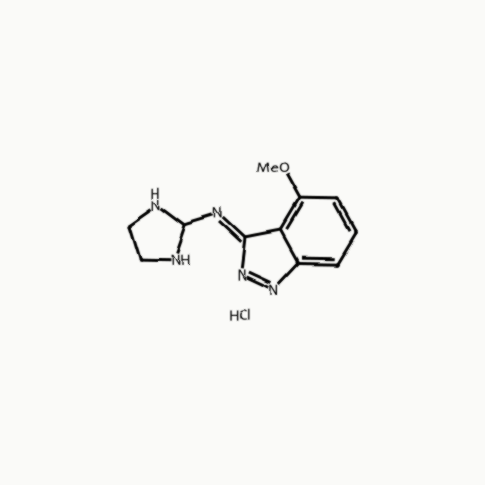 COc1cccc2c1C(=NC1NCCN1)N=N2.Cl